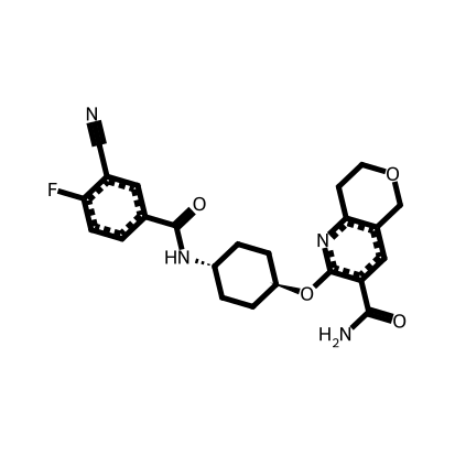 N#Cc1cc(C(=O)N[C@H]2CC[C@H](Oc3nc4c(cc3C(N)=O)COCC4)CC2)ccc1F